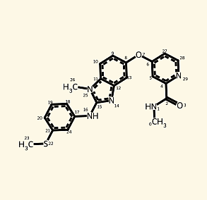 CNC(=O)c1cc(Oc2ccc3c(c2)nc(Nc2cccc(SC)c2)n3C)ccn1